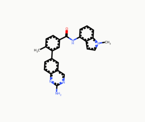 Cc1ccc(C(=O)Nc2cccc3c2ccn3C)cc1-c1ccc2nc(N)ncc2c1